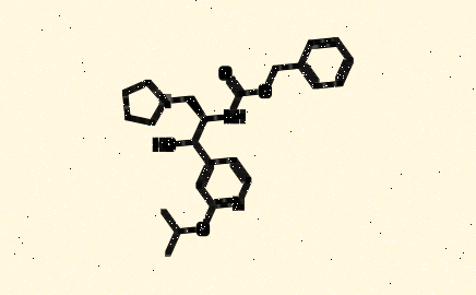 CC(C)Oc1cc(C(O)[C@@H](CN2CCCC2)NC(=O)OCc2ccccc2)ccn1